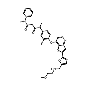 COCCNCc1ccc(-c2cc3nccc(Oc4ccc(N(C)C(=O)CC(=O)N(C)c5ccccc5)cc4F)c3s2)o1